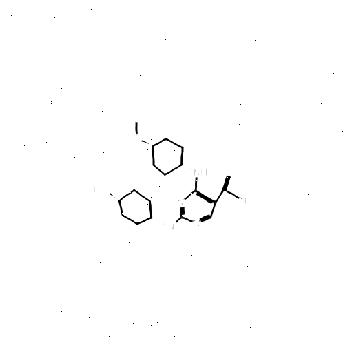 CO[C@H]1CC[C@H](Nc2nc(N[C@H]3CC[C@H](O)CC3)ncc2C(N)=O)CC1